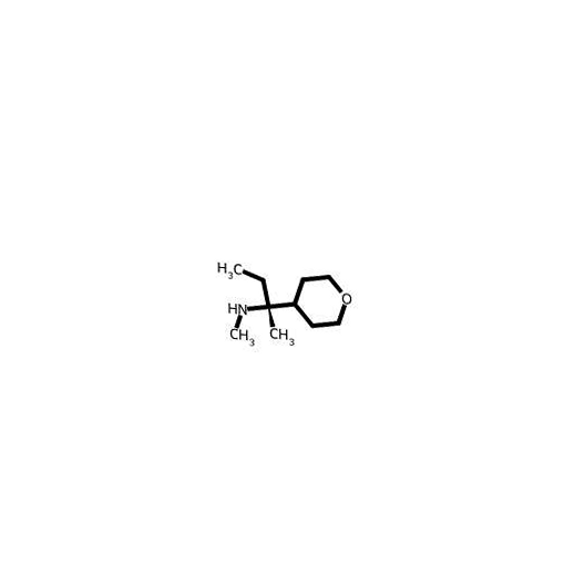 CC[C@@](C)(NC)C1CCOCC1